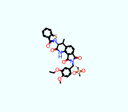 CCOc1cc([C@@H](CS(C)(=O)=O)N2C(=O)c3ccc4c(c3C2=O)NC(=O)[C@@H](n2sc3ccccc3c2=O)C4C)ccc1OC